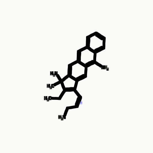 CCC1=C(/C=C\CN)c2cc3c(N)c4ccccc4cc3cc2C1(C)N